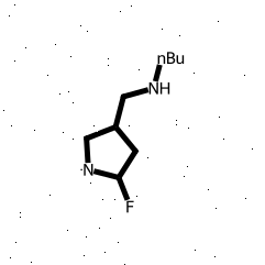 CCCCNCC1C[N]C(F)C1